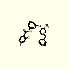 C[C@H]1CN(Cc2ccccc2)CC[C@@H]1Oc1cccc(NC(=O)c2ccc(F)cc2Cl)n1